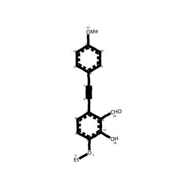 CCOc1ccc(C#Cc2ccc(OC)cc2)c(C=O)c1O